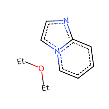 CCOCC.c1ccn2ccnc2c1